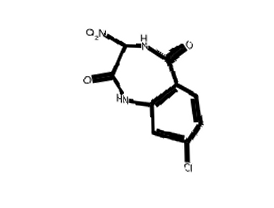 O=C1NC([N+](=O)[O-])C(=O)Nc2cc(Cl)ccc21